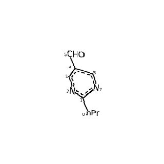 CCCc1ncc(C=O)cn1